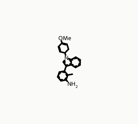 COC1=CCC(n2cc(-c3cccc(N)c3C)c3ccccc32)C=C1